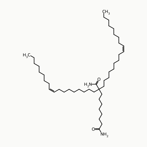 CCCCCCCC/C=C\CCCCCCCCC(CCCCCCCC/C=C\CCCCCCCC)(CCCCCCCC(N)=O)C(N)=O